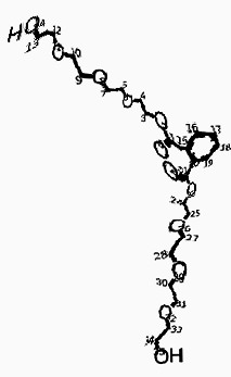 O=C(OCCOCCOCCOCCO)c1ccccc1C(=O)OCCOCCOCCOCCO